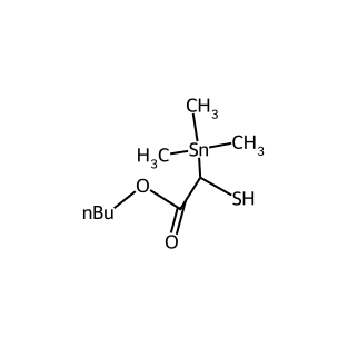 CCCCOC(=O)[CH](S)[Sn]([CH3])([CH3])[CH3]